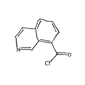 O=C(Cl)c1cccc2ccncc12